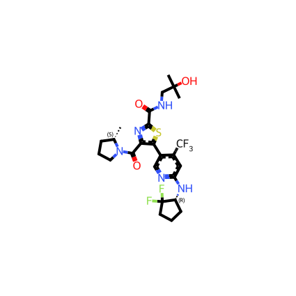 C[C@H]1CCCN1C(=O)c1nc(C(=O)NCC(C)(C)O)sc1-c1cnc(N[C@@H]2CCCC2(F)F)cc1C(F)(F)F